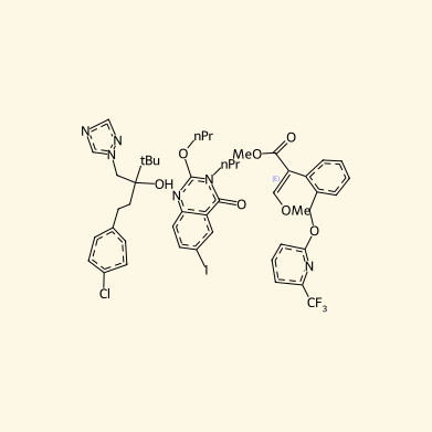 CC(C)(C)C(O)(CCc1ccc(Cl)cc1)Cn1cncn1.CCCOc1nc2ccc(I)cc2c(=O)n1CCC.CO/C=C(/C(=O)OC)c1ccccc1COc1cccc(C(F)(F)F)n1